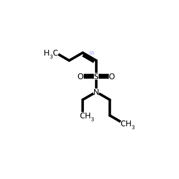 CC/C=C\S(=O)(=O)N(CC)CCC